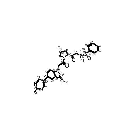 CC(=O)c1nn(CC(=O)N2C[C@H](F)C[C@H]2C(=O)CNS(=O)(=O)c2ccccc2)c2ccc(-c3cnc(C)nc3)cc12